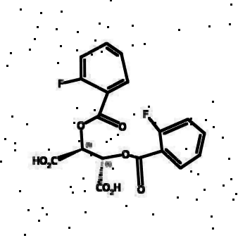 O=C(O[C@H](C(=O)O)[C@H](OC(=O)c1ccccc1F)C(=O)O)c1ccccc1F